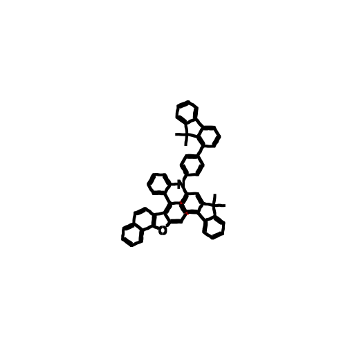 CC1(C)c2ccccc2-c2ccc(N(c3ccc(-c4cccc5c4C(C)(C)c4ccccc4-5)cc3)c3ccccc3-c3cccc4oc5c6ccccc6ccc5c34)cc21